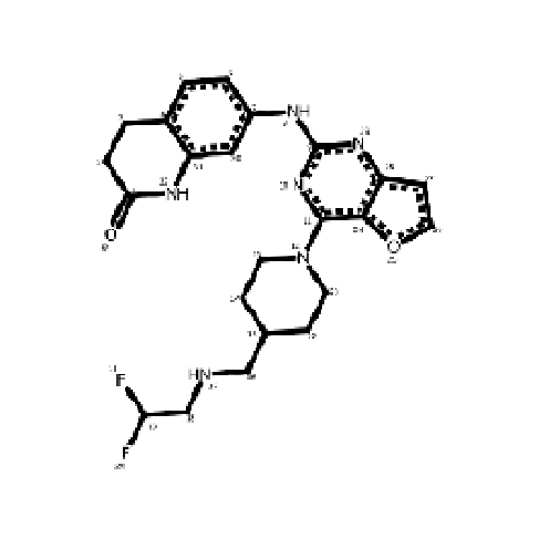 O=C1CCc2ccc(Nc3nc(N4CCC(CNCC(F)F)CC4)c4occc4n3)cc2N1